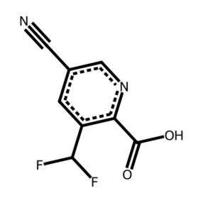 N#Cc1cnc(C(=O)O)c(C(F)F)c1